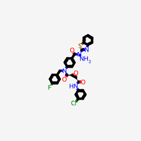 NN(C(=O)c1ccc(N(Cc2ccc(F)cc2)C(=O)[C@H]2O[C@@H]2C(=O)Nc2cccc(Cl)c2)cc1)c1nc2ccccc2s1